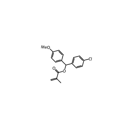 C=C(C)C(=O)OC(c1ccc(Cl)cc1)c1ccc(OC)cc1